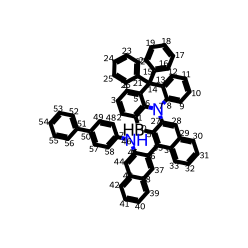 B1c2cccc3c2N(c2ccccc2C3(c2ccccc2)c2ccccc2)c2cc3ccccc3c(-c3cc4ccccc4cc3Nc3ccc(-c4ccccc4)cc3)c21